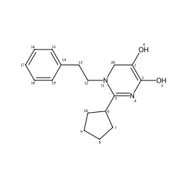 OC1=C(O)N=C(C2CCCC2)N(CCc2ccccc2)C1